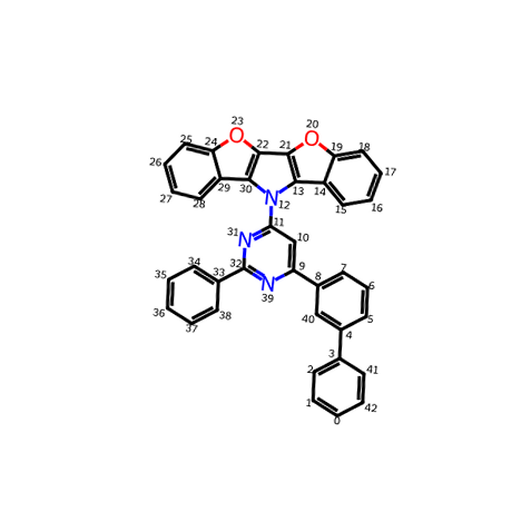 c1ccc(-c2cccc(-c3cc(-n4c5c6ccccc6oc5c5oc6ccccc6c54)nc(-c4ccccc4)n3)c2)cc1